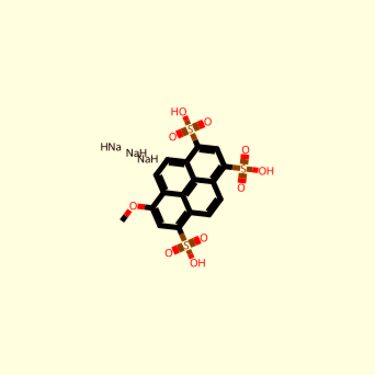 COc1cc(S(=O)(=O)O)c2ccc3c(S(=O)(=O)O)cc(S(=O)(=O)O)c4ccc1c2c43.[NaH].[NaH].[NaH]